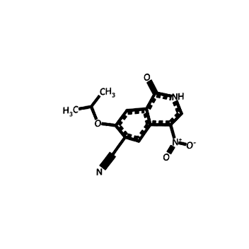 CC(C)Oc1cc2c(=O)[nH]cc([N+](=O)[O-])c2cc1C#N